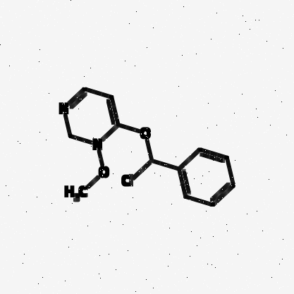 CON1CN=CC=C1OC(Cl)c1ccccc1